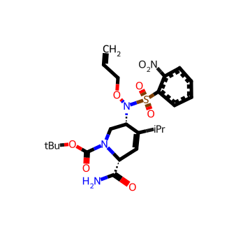 C=CCON([C@H]1CN(C(=O)OC(C)(C)C)[C@@H](C(N)=O)C=C1C(C)C)S(=O)(=O)c1ccccc1[N+](=O)[O-]